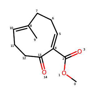 COC(=O)/C1=C/CC/C(C)=C/CCC1=O